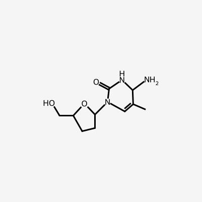 CC1=CN(C2CCC(CO)O2)C(=O)NC1N